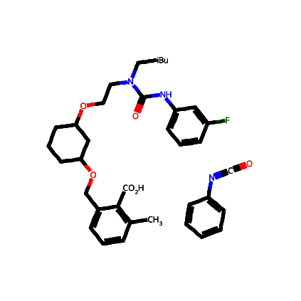 CCC(C)CN(CCOC1CCCC(OCc2cccc(C)c2C(=O)O)C1)C(=O)Nc1cccc(F)c1.O=C=Nc1ccccc1